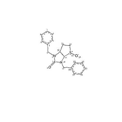 O=C1N(Cc2ccccc2)C2CC[S+]([O-])C2N1Cc1ccccc1